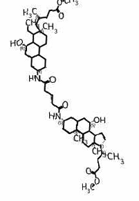 CCC1C2C(CC[C@]1(C)C[C@H](C)CCC(=O)OC)C1CC[C@@H](NC(=O)CCCC(=O)N[C@H]3CC[C@@]4(C)C(C3)C[C@H](O)C3C4CC[C@@]4(C)C3CC[C@@H]4[C@H](C)CCC(=O)OC)CC1C[C@H]2O